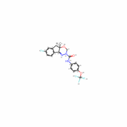 CC12Cc3cc(F)ccc3C1=NN(C(=O)Nc1ccc(OC(F)(F)F)cc1)CO2